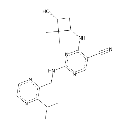 CC(C)c1nccnc1CNc1ncc(C#N)c(N[C@H]2C[C@@H](O)C2(C)C)n1